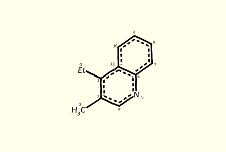 CCc1c(C)cnc2ccccc12